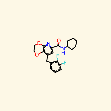 O=C(NC1CCCCC1)c1cc(Cc2cccc(F)c2F)c2c(n1)OCCO2